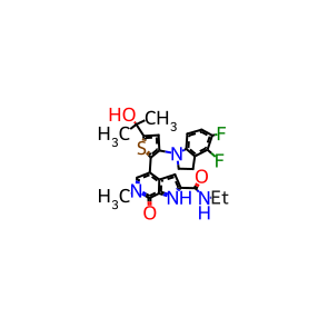 CCNC(=O)c1cc2c(-c3sc(C(C)(C)O)cc3N3CCc4c3ccc(F)c4F)cn(C)c(=O)c2[nH]1